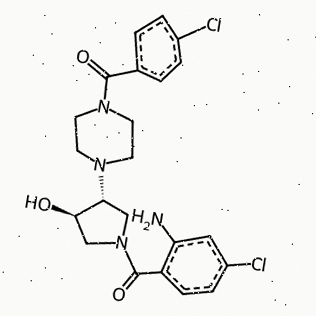 Nc1cc(Cl)ccc1C(=O)N1C[C@@H](O)[C@H](N2CCN(C(=O)c3ccc(Cl)cc3)CC2)C1